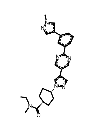 CCN(C)C(=O)[C@H]1CC[C@H](n2cc(-c3cnc(-c4cccc(-c5cnn(C)c5)c4)nc3)cn2)CC1